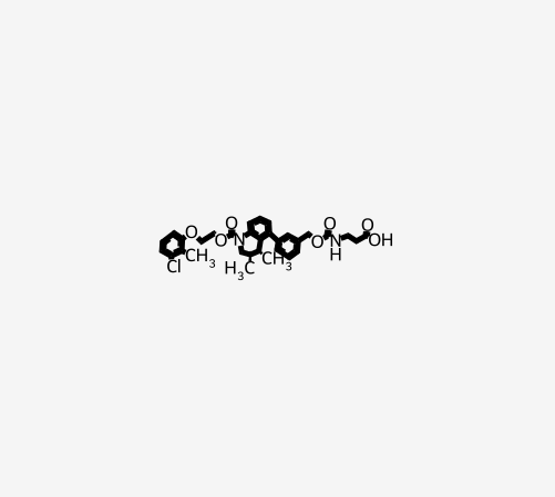 Cc1c(Cl)cccc1OCCOC(=O)N1C[C@H](C)[C@H](C)c2c(-c3cccc(COC(=O)NCCC(=O)O)c3)cccc21